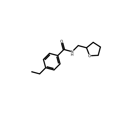 CCc1ccc(C(=O)NCC2CCCO2)cc1